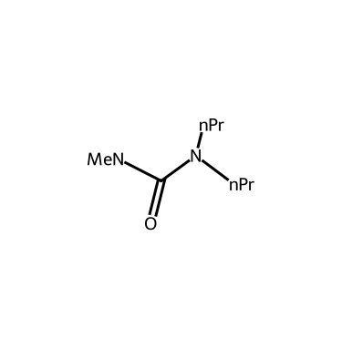 CCCN(CCC)C(=O)NC